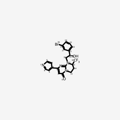 O=c1cc(-c2ccncc2)nc2n1CCC(C(F)(F)F)N2C[C@H](O)c1cccc(Br)c1